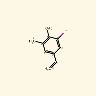 C=Cc1cc(C)c(OC(C)=O)c(I)c1